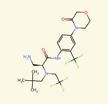 CC(C)(C)CN(CC(F)(F)F)[C@@H](CN)C(=O)Nc1ccc(N2CCOCC2=O)cc1C(F)(F)F